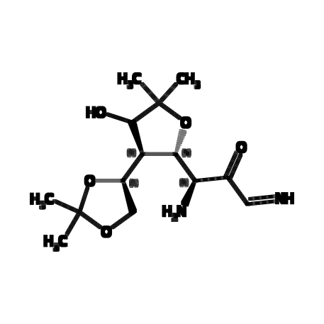 CC1(C)OC[C@H]([C@H]2C(O)C(C)(C)O[C@@H]2[C@H](N)C(=O)C=N)O1